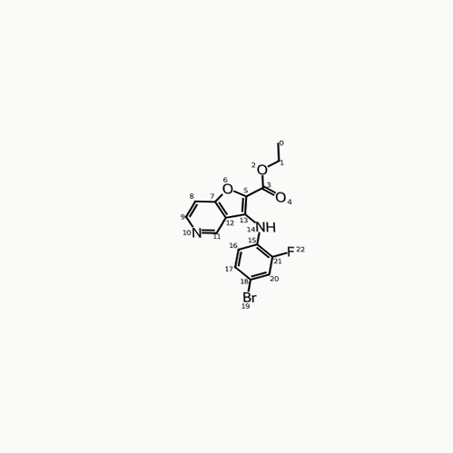 CCOC(=O)c1oc2ccncc2c1Nc1ccc(Br)cc1F